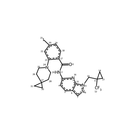 O=C(Nc1ccc2cnn(CC3(C(F)(F)F)CC3)c2n1)c1ccc(I)cc1N1CCC2(CC1)CC2